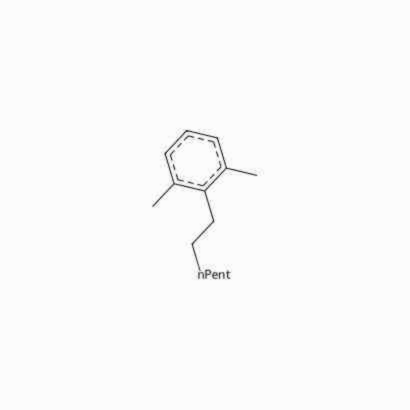 [CH2]CCCCCCc1c(C)cccc1C